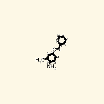 Cc1cc(OCc2ccccn2)ccc1N